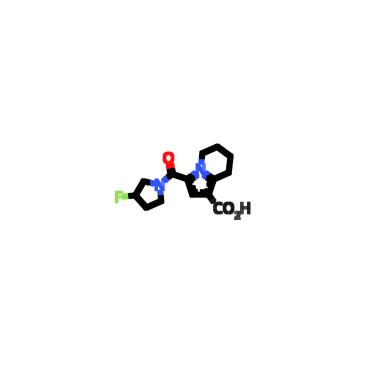 O=C(O)c1cc(C(=O)N2CCC(F)C2)n2c1CCCC2